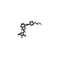 CCCc1ccc(C#Cc2cncc3cc(/C=C4\SC(=S)NC4=O)oc23)cc1